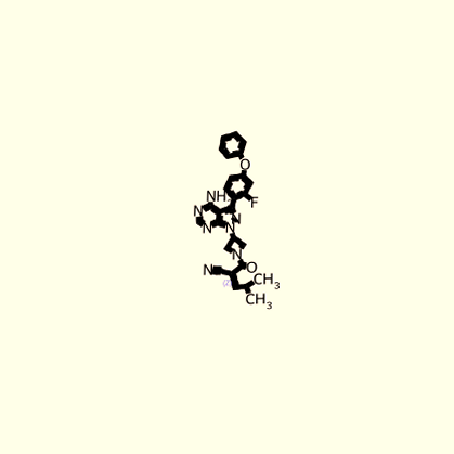 CC(C)/C=C(/C#N)C(=O)N1CC(n2nc(-c3ccc(Oc4ccccc4)cc3F)c3c(N)ncnc32)C1